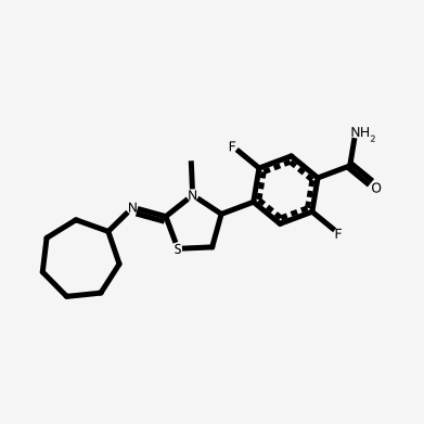 CN1C(=NC2CCCCCC2)SCC1c1cc(F)c(C(N)=O)cc1F